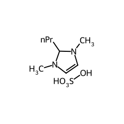 CCCC1N(C)C=CN1C.O=S(=O)(O)O